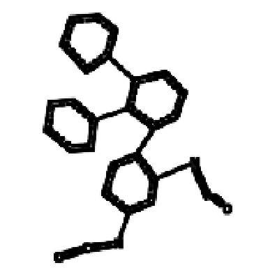 O=C=Nc1ccc(-c2cccc(-c3ccccc3)c2-c2ccccc2)c(N=C=O)c1